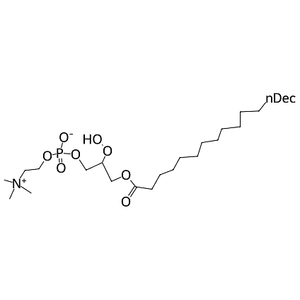 CCCCCCCCCCCCCCCCCCCCCC(=O)OCC(COP(=O)([O-])OCC[N+](C)(C)C)OO